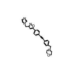 C(#Cc1ccc(-c2cc(Cn3ccnc3)no2)cc1)c1ccc(CN2CCOCC2)cc1